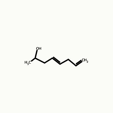 C=CCC=CCC(C)O